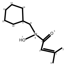 CC(C)=CC(=O)N(O)CC1CCCCC1